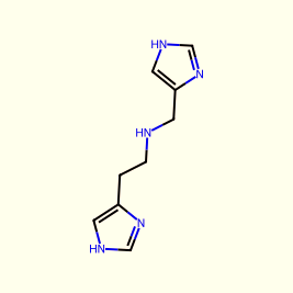 c1nc(CCNCc2c[nH]cn2)c[nH]1